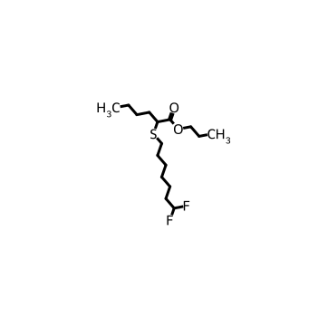 CCCCC(SCCCCCCC(F)F)C(=O)OCCC